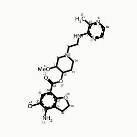 COC1CN(CCNc2nccnc2C)CCC1OC(=O)c1cc(Cl)c(N)c2c1OCC2